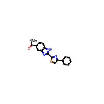 CNC(=O)c1ccc2[nH]c(-c3nc(-c4ccccc4)cs3)nc2c1